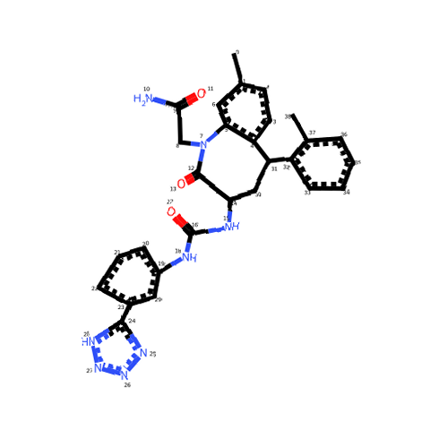 Cc1ccc2c(c1)N(CC(N)=O)C(=O)C(NC(=O)Nc1cccc(-c3nnn[nH]3)c1)CC2c1ccccc1C